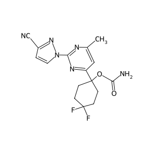 Cc1cc(C2(OC(N)=O)CCC(F)(F)CC2)nc(-n2ccc(C#N)n2)n1